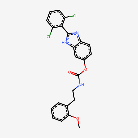 COc1ccccc1CCNC(=O)Oc1ccc2nc(-c3c(Cl)cccc3Cl)[nH]c2c1